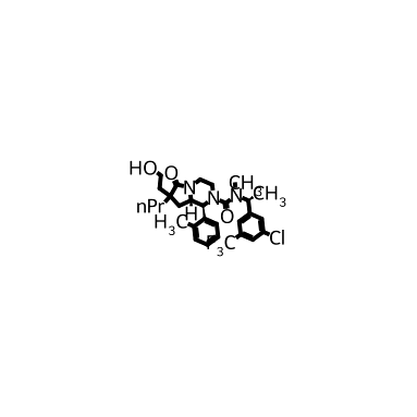 CCCC1(CCO)C[C@H]2[C@H](c3ccccc3C)N(C(=O)N(C)[C@@H](C)c3cc(Cl)cc(C(F)(F)F)c3)CCN2C1=O